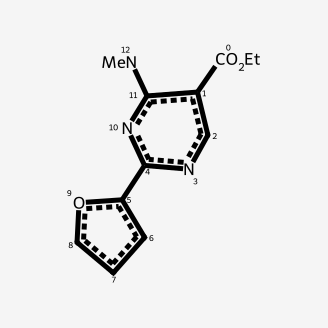 CCOC(=O)c1cnc(-c2ccco2)nc1NC